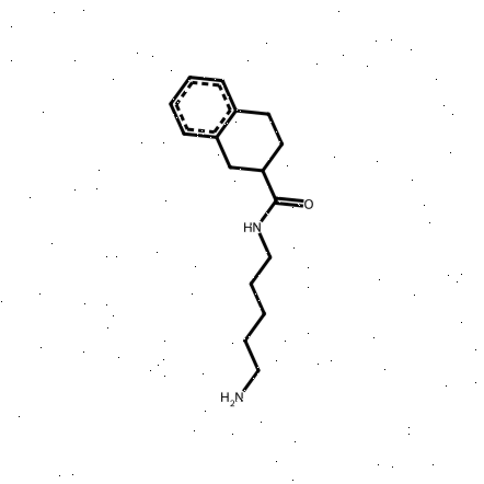 NCCCCCNC(=O)C1CCc2ccccc2C1